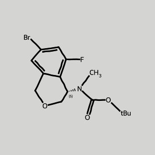 CN(C(=O)OC(C)(C)C)[C@@H]1COCc2cc(Br)cc(F)c21